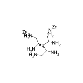 NC[CH](N)[Ag]([CH](N)CN)[CH](N)CN.[Co].[Zn].[Zr]